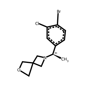 C[C@H](c1ccc(Br)c(Cl)c1)N1CC2(COC2)C1